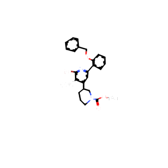 CC(C)(C)OC(=O)N1CCCC(c2cc(-c3ccccc3OCc3ccccc3)nc(Br)c2C=O)C1